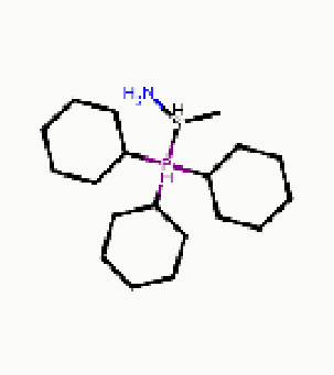 C[SiH](N)[PH](C1CCCCC1)(C1CCCCC1)C1CCCCC1